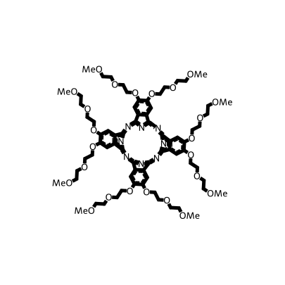 COCCOCCOc1cc2c(cc1OCCOCCOC)-c1nc-2nc2[nH]c(nc3nc(nc4[nH]c(n1)c1cc(OCCOCCOC)c(OCCOCCOC)cc41)-c1cc(OCCOCCOC)c(OCCOCCOC)cc1-3)c1cc(OCCOCCOC)c(OCCOCCOC)cc21